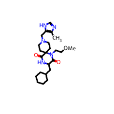 COCCN1C(=O)C(CC2CCCCC2)NC(=O)C12CCN(Cc1[nH]cnc1C)CC2